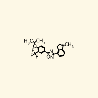 CC(C)Oc1ccc(-c2nc(-c3cccc4c3CC[C@H]4C)no2)cc1C(F)(F)F